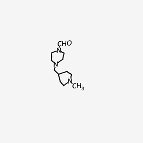 CN1CCC(CN2CCN(C=O)CC2)CC1